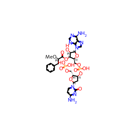 CO[C@H](Cc1ccccc1)C(=O)O[C@H]1[C@@H](O)[C@H](n2cnc3c(N)ncnc32)O[C@H]1COP(=O)(O)O[C@H]1C[C@H](n2ccc(N)nc2=O)O[C@@H]1COP(=O)(O)O